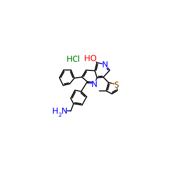 Cc1ccsc1-c1cnc(O)c2cc(-c3ccccc3)c(-c3ccc(CN)cc3)nc12.Cl